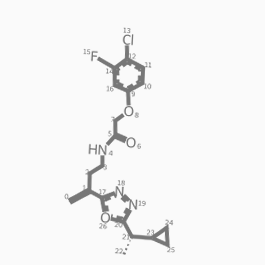 C=C(CCNC(=O)COc1ccc(Cl)c(F)c1)c1nnc([C@@H](C)C2CC2)o1